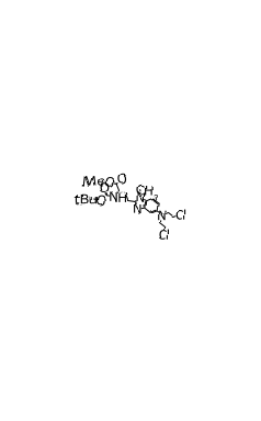 COC(=O)[C@H](CCc1nc2cc(N(CCCl)CCCl)ccc2n1C)NC(=O)OC(C)(C)C